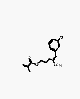 C=C(C)C(=O)OCCCC(=Cc1cccc(Cl)c1)C(=O)O